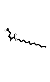 CCCCCCCCCCCCOC(=O)C(C)=CCC1CO1